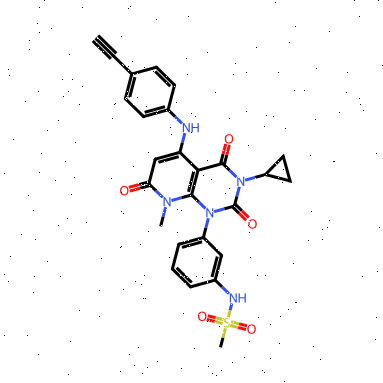 C#Cc1ccc(Nc2cc(=O)n(C)c3c2c(=O)n(C2CC2)c(=O)n3-c2cccc(NS(C)(=O)=O)c2)cc1